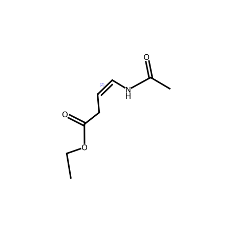 CCOC(=O)C/C=C\NC(C)=O